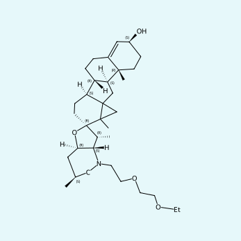 CCOCCOCCN1C[C@@H](C)C[C@H]2O[C@]3(CC[C@H]4[C@@H]5CCC6=C[C@@H](O)CC[C@]6(C)[C@H]5CC45CC53C)[C@H](C)[C@@H]21